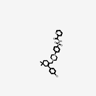 CC1(C)CCC(CN2CCN(c3ccc(S(=O)(=O)NC(=O)c4ccccn4)cc3)CC2)=C(c2ccc(Cl)cc2)C1